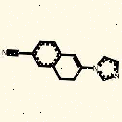 N#Cc1ccc2c(c1)CCC(n1ccnc1)=C2